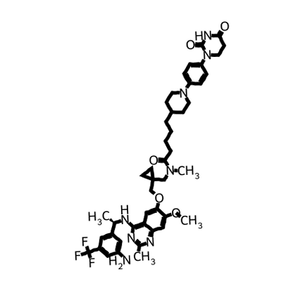 COc1cc2nc(C)nc(N[C@H](C)c3cc(N)cc(C(F)(F)F)c3)c2cc1OCC1(CN(C)C(=O)CCCCC2CCN(c3ccc(N4CCC(=O)NC4=O)cc3)CC2)CC1